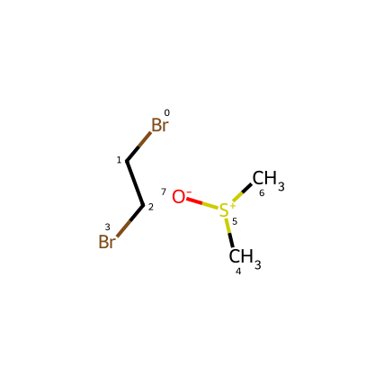 BrCCBr.C[S+](C)[O-]